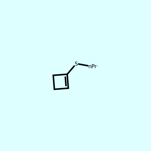 CC[CH]SC1=CCC1